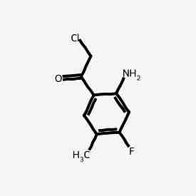 Cc1cc(C(=O)CCl)c(N)cc1F